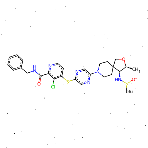 C[C@@H]1OCC2(CCN(c3cnc(Sc4ccnc(C(=O)NCc5ccccc5)c4Cl)cn3)CC2)[C@@H]1N[S+]([O-])C(C)(C)C